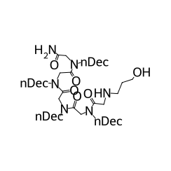 CCCCCCCCCCN(CC(N)=O)C(=O)CN(CCCCCCCCCC)C(=O)CN(CCCCCCCCCC)C(=O)CN(CCCCCCCCCC)C(=O)CNCCCO